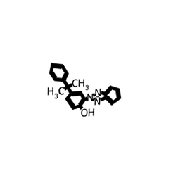 CC(C)(c1ccccc1)c1ccc(O)c(-n2n3c4ccccc4n23)c1